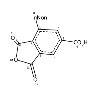 [CH2]CCCCCCCCc1cc(C(=O)O)cc2c1C(=O)OC2=O